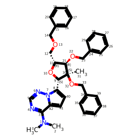 CN(C)c1ncnn2c([C@@H]3O[C@H](COCc4ccccc4)[C@@H](OCc4ccccc4)[C@@]3(C)OCc3ccccc3)ccc12